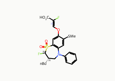 CCCC[C@H]1CN(c2ccccc2)c2cc(SC)c(O/C=C(\F)C(=O)O)cc2S(=O)(=O)[C@@H]1F